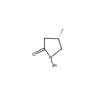 CC(C)N1C[C@@H](C)CC1=O